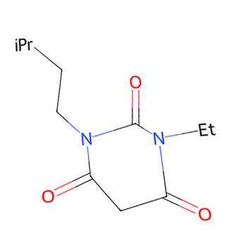 CCN1C(=O)CC(=O)N(CCC(C)C)C1=O